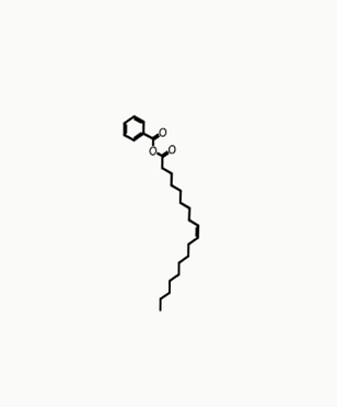 CCCCCCCC/C=C\CCCCCCCC(=O)OC(=O)c1ccccc1